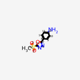 CS(=O)(=O)c1nnc(-c2ccc(N)cc2)o1